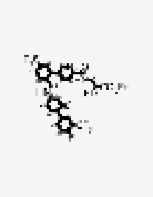 CCOC(=O)C(CC)CNC(=O)c1ccc(-c2cc(C(F)(F)F)ccc2CNc2ccc(-c3ccc(F)c(C(F)(F)F)c3)c(Cl)c2)cn1